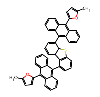 Cc1ccc(-c2c3ccccc3c(C3=CC=CC4c5c(cccc5-c5c6ccccc6c(-c6ccc(C)o6)c6ccccc56)SC34)c3ccccc23)o1